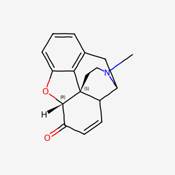 CN1CC[C@]23c4c5cccc4O[C@H]2C(=O)C=CC3C1C5